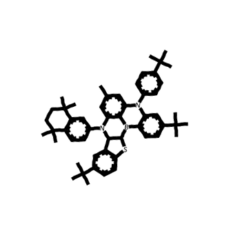 Cc1cc2c3c(c1)N(c1ccc4c(c1)C(C)(C)CCC4(C)C)C1c4cc(C(C)(C)C)ccc4SC1B3c1ccc(C(C)(C)C)cc1N2c1ccc(C(C)(C)C)cc1